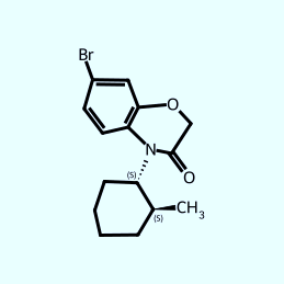 C[C@H]1CCCC[C@@H]1N1C(=O)COc2cc(Br)ccc21